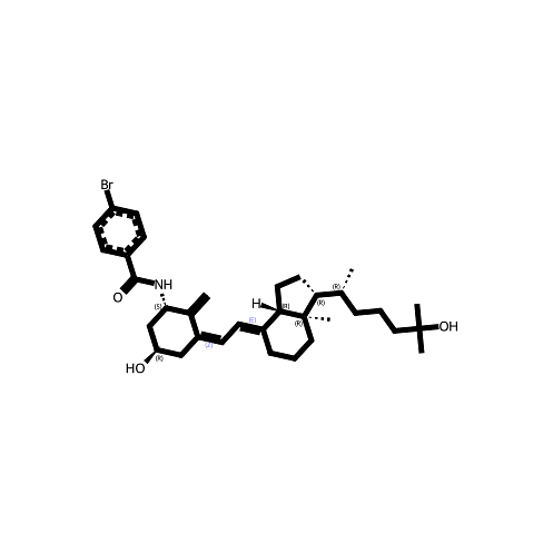 C=C1/C(=C\C=C2/CCC[C@]3(C)[C@@H]([C@H](C)CCCC(C)(C)O)CC[C@@H]23)C[C@@H](O)C[C@@H]1NC(=O)c1ccc(Br)cc1